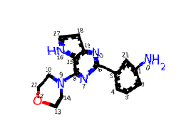 Nc1cccc(-c2nc(N3CCOCC3)c3[nH]ccc3n2)c1